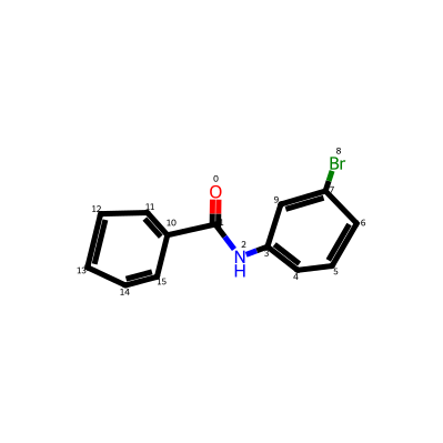 O=C(Nc1cccc(Br)c1)c1ccccc1